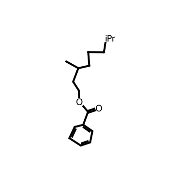 CC(C)CCCC(C)CCOC(=O)c1ccccc1